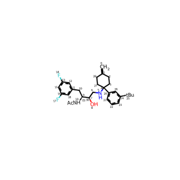 C=C1CCC(NC[C@@H](O)[C@H](Cc2cc(F)cc(F)c2)NC(C)=O)(c2cccc(C(C)(C)C)c2)CC1